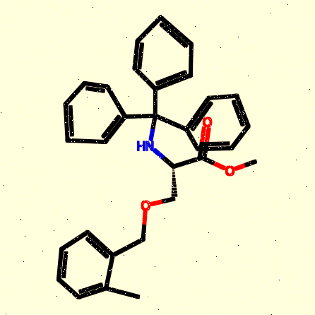 COC(=O)[C@H](COCc1ccccc1C)NC(c1ccccc1)(c1ccccc1)c1ccccc1